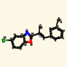 CC/C(=C\c1cccc(C(F)(F)F)c1)c1nc2cc(Cl)ccc2o1